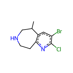 CC1CNCCc2nc(Cl)c(Br)cc21